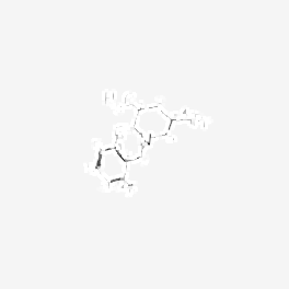 CC1CC(C(C)C)CN(Cc2c(F)cccc2F)C1